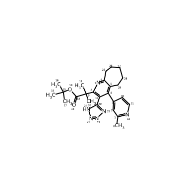 Cc1cc(-c2c3c(nc(C(C)(C)C(=O)OC(C)(C)C)c2-c2nnn[nH]2)CCCCC3)ccn1